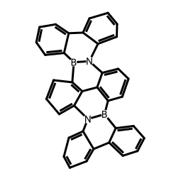 c1ccc2c(c1)B1c3cccc4c3-c3c(cccc3N1c1ccccc1-2)B1c2ccccc2-c2ccccc2N14